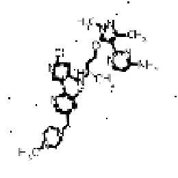 Cc1nn(C)c(OCC[C@H](C)Nc2cc(Cl)ncc2-c2ncc(CN3CCN(C)CC3)cc2F)c1-c1nccc(N)n1